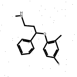 CNCCC(Oc1ccc(I)cc1C)c1ccccc1